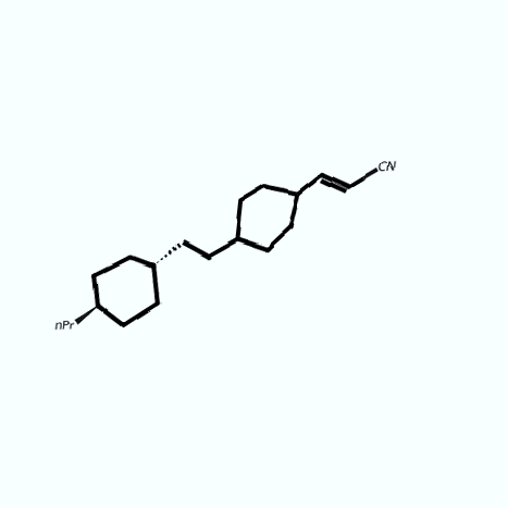 CCC[C@H]1CC[C@H](CCC2CCC(C=CC#N)CC2)CC1